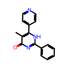 Cc1c(-c2ccncc2)[nH]c(-c2ccccc2)nc1=O